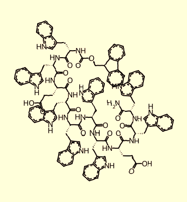 NC(=O)[C@H](Cc1c[nH]c2ccccc12)NC(=O)[C@H](Cc1c[nH]c2ccccc12)NC(=O)[C@H](CCC(=O)O)NC(=O)[C@H](Cc1c[nH]c2ccccc12)NC(=O)[C@H](Cc1c[nH]c2ccccc12)NC(=O)[C@H](Cc1c[nH]c2ccccc12)NC(=O)[C@H](Cc1c[nH]c2ccccc12)NC(=O)[C@H](CCC(=O)O)NC(=O)[C@H](Cc1c[nH]c2ccccc12)NC(=O)[C@H](Cc1c[nH]c2ccccc12)NC(=O)OCC1c2ccccc2-c2ccccc21